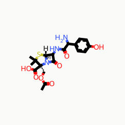 CC(=O)OC[C@@]1(C(=O)O)N2C(=O)C(NC(=O)C(N)c3ccc(O)cc3)[C@H]2SC1(C)C